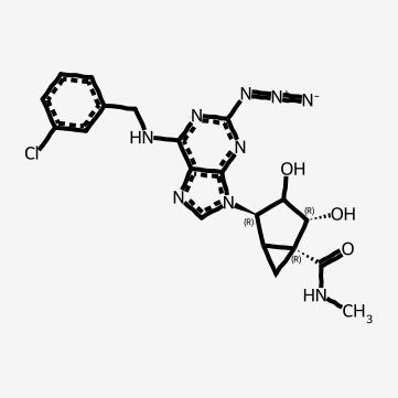 CNC(=O)[C@]12CC1[C@@H](n1cnc3c(NCc4cccc(Cl)c4)nc(N=[N+]=[N-])nc31)C(O)[C@@H]2O